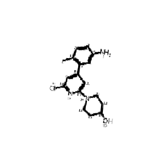 Cc1ccc(N)cc1-c1cc(Cl)nc(N2CCC(O)CC2)c1